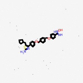 N=C(NO)c1ccc(OCc2ccc(COc3ccc(-c4nc(N)sc4CC4CCCC4)cc3)cc2)cc1